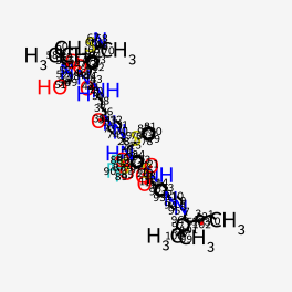 CCC12CC(C3=C(CN4CCN(c5ccc(C(=O)NS(=O)(=O)c6ccc(N[C@H](CCN7CCN(C(=O)CCCCNC(=O)C[C@H](NC(=O)[C@@H]8C[C@@H](O)CN8C(=O)CC(C)(C)C)c8ccc(-c9scnc9C)cc8)CC7)CSc7ccccc7)c(S(=O)(=O)C(F)(F)F)c6)cc5)CC4)CCC(C)(C)C3)(C1)C2